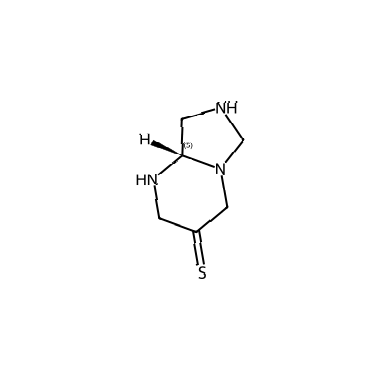 S=C1CN[C@@H]2CNCN2C1